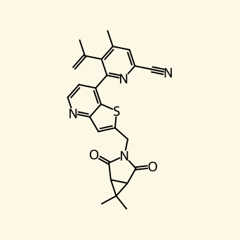 C=C(C)c1c(C)cc(C#N)nc1-c1ccnc2cc(CN3C(=O)C4C(C3=O)C4(C)C)sc12